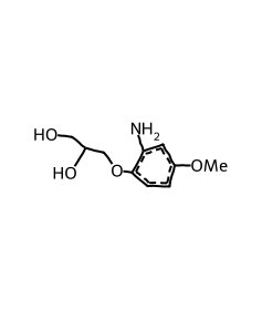 COc1ccc(OCC(O)CO)c(N)c1